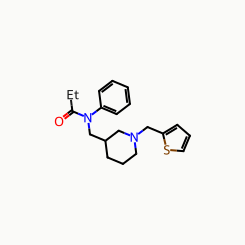 CCC(=O)N(CC1CCCN(Cc2cccs2)C1)c1ccccc1